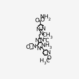 CCn1c(CN(C)c2ncc(C(=O)ON)cn2)nc2c(N3CCOCC3)nc(-c3ccc(OC)nc3)nc21